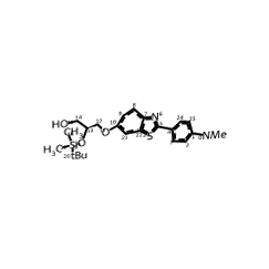 CNc1ccc(-c2nc3ccc(OC[C@H](CO)O[Si](C)(C)C(C)(C)C)cc3s2)cc1